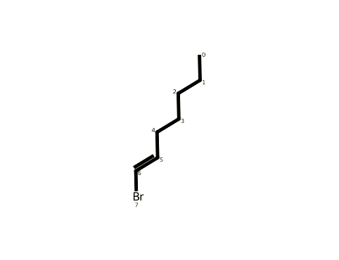 CCCCC/C=C/Br